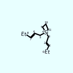 CCC=CC[Si]1(CC=CCC)CCC1